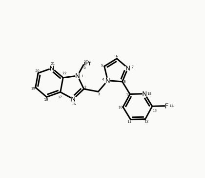 CC(C)n1c(Cn2ccnc2-c2cccc(F)n2)nc2cccnc21